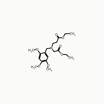 CCOC(=O)CCN(CC(=O)OCC)Cc1cc(OC)c(OC)cc1OC